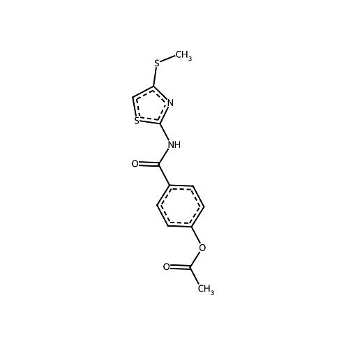 CSc1csc(NC(=O)c2ccc(OC(C)=O)cc2)n1